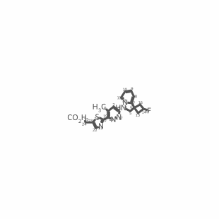 Cc1cc(NCC2(c3ccccn3)CC(F)C2)nnc1-c1ncc(CC(=O)O)s1